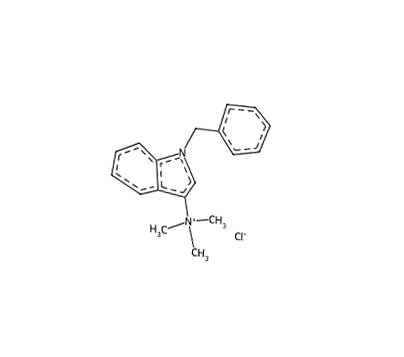 C[N+](C)(C)c1cn(Cc2ccccc2)c2ccccc12.[Cl-]